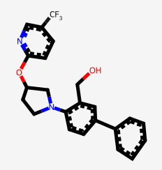 OCc1cc(-c2ccccc2)ccc1N1CCC(Oc2ccc(C(F)(F)F)cn2)C1